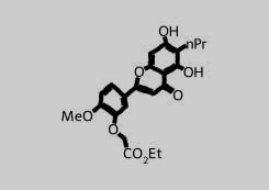 CCCc1c(O)cc2oc(-c3ccc(OC)c(OCC(=O)OCC)c3)cc(=O)c2c1O